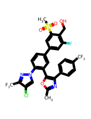 Cc1nc(-c2ccc(C(F)(F)F)cc2)c(-c2cc(-c3cc(F)c(CO)c(S(C)(=O)=O)c3)ccc2-n2cc(Cl)c(C(F)(F)F)n2)o1